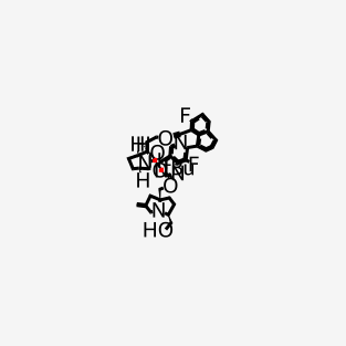 C#Cc1c(F)ccc2cccc(-c3nc4c5c(nc(OC[C@@]67CC[C@@H](CO)N6CC(=C)C7)nc5c3F)N3C[C@H]5CC[C@@H]([C@H]3CCO4)N5C(=O)OC(C)(C)C)c12